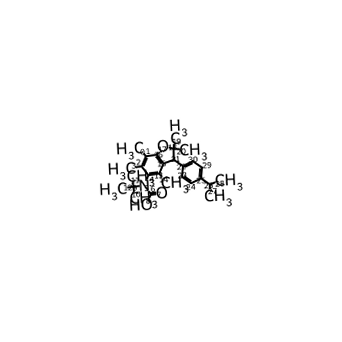 Cc1c(C)c(N(C(=O)O)C(C)(C)C)c(C)c2c1OC(C)(C)C2c1ccc(C(C)C)cc1